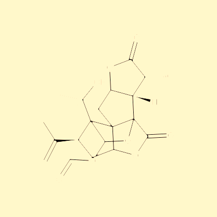 C=C(C)[C@@H]1CC2OC(=O)C34OC(OC=O)C1([C@H](C)O)C23CC1OC(=O)[C@H](C)[C@@H]14